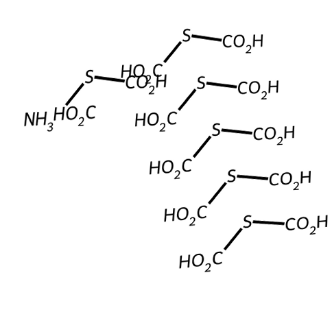 N.O=C(O)SC(=O)O.O=C(O)SC(=O)O.O=C(O)SC(=O)O.O=C(O)SC(=O)O.O=C(O)SC(=O)O.O=C(O)SC(=O)O